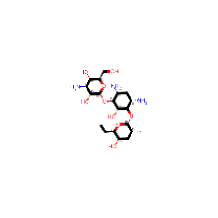 CC[C@H]1O[C@H](OC2[C@@H](N)C[C@@H](N)[C@H](O[C@H]3O[C@H](CO)[C@@H](O)[C@H](N)[C@H]3O)[C@H]2O)[C@H](C)C[C@@H]1O